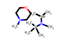 CN([SiH](C)C)[Si](C)(C)C.CN1CCOCC1